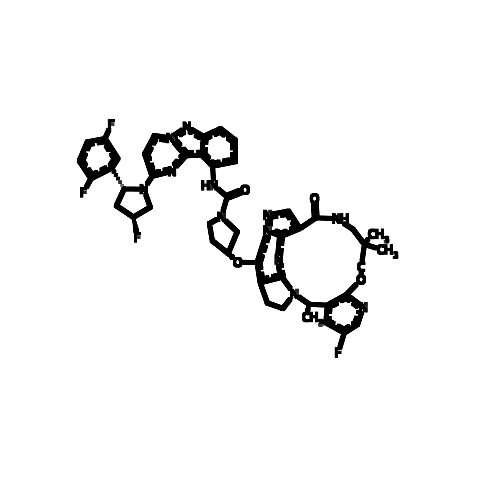 C[C@@H]1c2cc(F)cnc2OCC(C)(C)CNC(=O)c2cnn3c(O[C@H]4CCN(C(=O)Nc5cccc6nn7ccc(N8C[C@@H](F)C[C@@H]8c8cc(F)ccc8F)nc7c56)C4)c4c(nc23)N1CC4